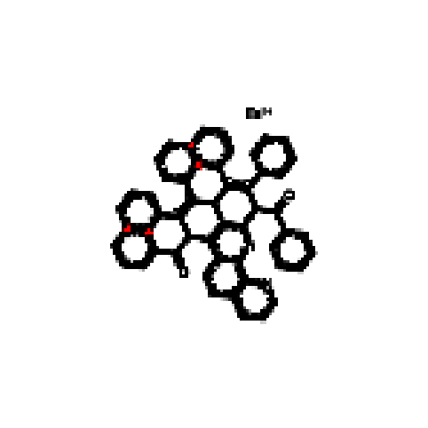 O=C(c1ccccc1)C(C(=O)c1ccccc1)c1nc2c(ccc3cccnc32)c(C(C(=O)c2ccccc2)C(=O)c2ccccc2)c1C(C(=O)c1ccccc1)C(=O)c1ccccc1.[Eu+3]